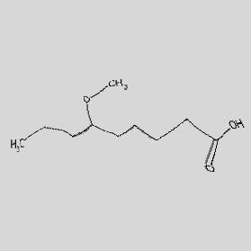 CCCC(CCCCC(=O)O)OC